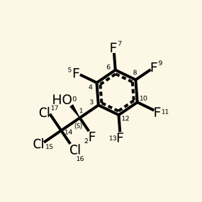 O[C@](F)(c1c(F)c(F)c(F)c(F)c1F)C(Cl)(Cl)Cl